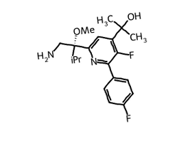 CO[C@](CN)(c1cc(C(C)(C)O)c(F)c(-c2ccc(F)cc2)n1)C(C)C